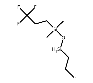 [CH2]CC[SiH2]O[Si](C)(C)CCC(F)(F)F